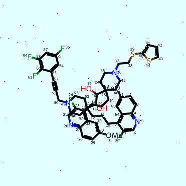 COc1ccc2ncc(F)c(CCCC3(C(O)C(O)C4(CCCc5c(F)cnc6ccc(OC)cc56)CCN(CCSc5cccs5)CC4)CCN(CC#Cc4cc(F)cc(F)c4F)CC3)c2c1